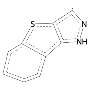 [c]1n[nH]c2c1sc1ccccc12